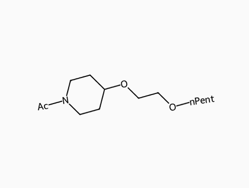 CCCCCOCCOC1CCN(C(C)=O)CC1